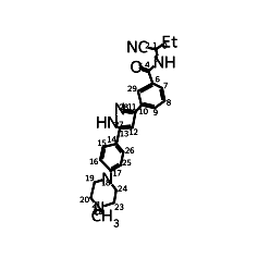 CCC(C#N)NC(=O)c1cccc(-c2cc(-c3ccc(N4CCN(C)CC4)cc3)[nH]n2)c1